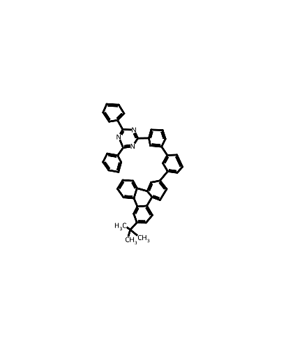 CC(C)(C)c1ccc2c3ccc(-c4cccc(-c5cccc(-c6nc(-c7ccccc7)nc(-c7ccccc7)n6)c5)c4)cc3c3ccccc3c2c1